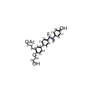 CC(=O)OCCCc1cc(-c2ccc(/C(F)=C(\F)c3ccc(O)cc3)cc2)ccc1OCCO